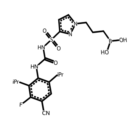 CC(C)c1cc(C#N)c(F)c(C(C)C)c1NC(=O)NS(=O)(=O)c1ccn(CCCB(O)O)n1